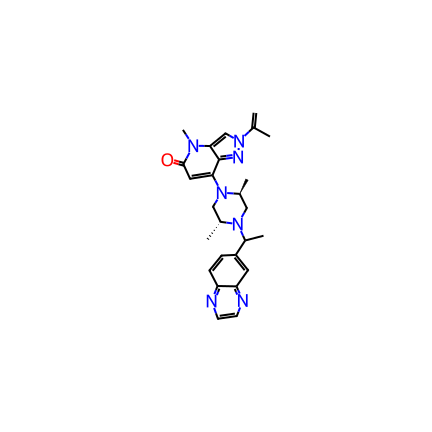 C=C(C)n1cc2c(n1)c(N1C[C@@H](C)N(C(C)c3ccc4nccnc4c3)C[C@@H]1C)cc(=O)n2C